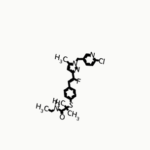 CCNC(=O)C(C)(C)Sc1ccc(C=C(F)c2cc(C)n(Cc3ccc(Cl)nc3)n2)cc1